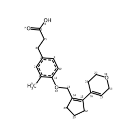 Cc1cc(CCC(=O)O)ccc1OCC1=C(C2=CCOCC2)CCC1